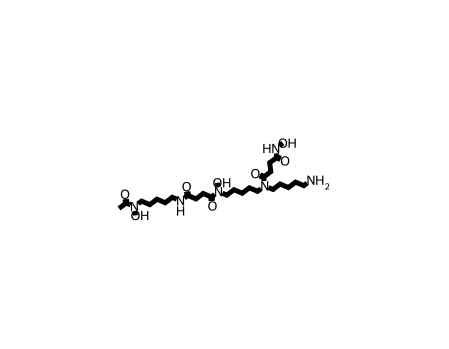 CC(=O)N(O)CCCCCNC(=O)CCC(=O)N(O)CCCCCN(CCCCCN)C(=O)CCC(=O)NO